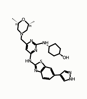 C[C@@H]1CN(Cc2cc(Nc3nc4ccc(-c5cn[nH]c5)cc4s3)nc(N[C@H]3CC[C@H](O)CC3)n2)C[C@H](C)O1